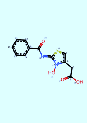 O=C(O)Cc1csc(=NC(=O)c2ccccc2)n1O